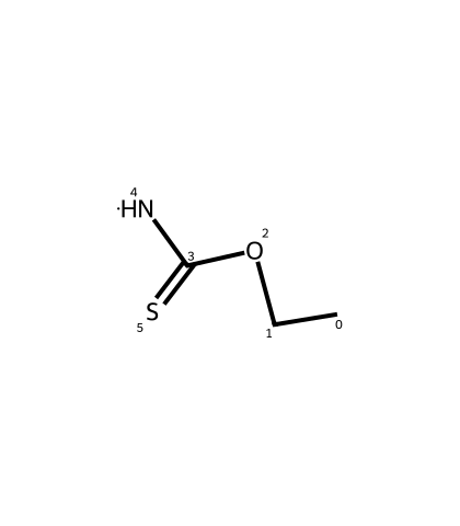 CCOC([NH])=S